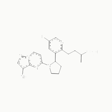 CC(CCc1ncc(F)cc1C1CCCN1c1ccn2ncc(N)c2n1)C(=O)O